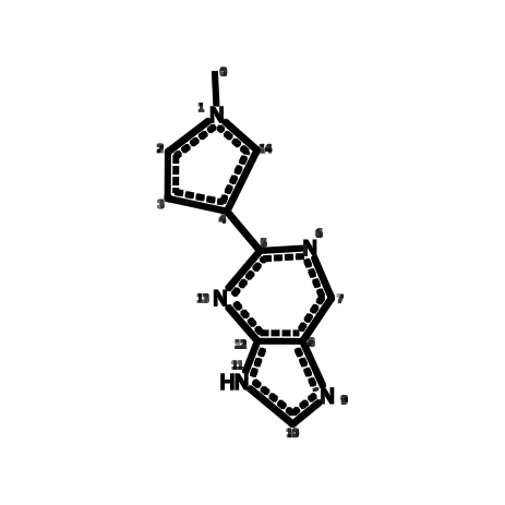 Cn1ccc(-c2ncc3nc[nH]c3n2)c1